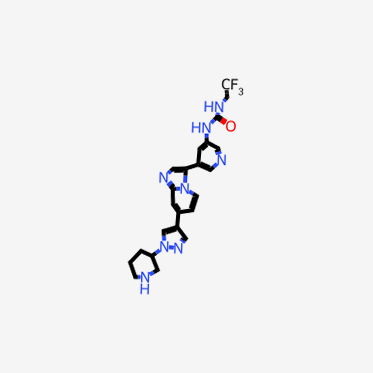 O=C(NCC(F)(F)F)Nc1cncc(-c2cnc3cc(-c4cnn(C5CCCNC5)c4)ccn23)c1